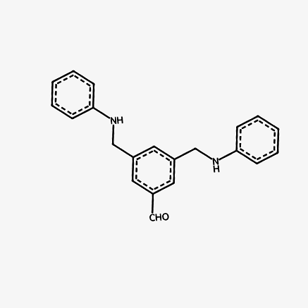 O=Cc1cc(CNc2ccccc2)cc(CNc2ccccc2)c1